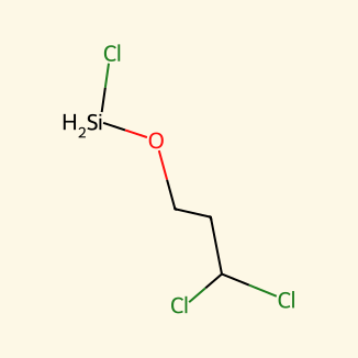 Cl[SiH2]OCCC(Cl)Cl